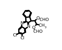 CC(OC=O)C(OC=O)C1c2ccccc2-c2nc3cc(Cl)c(Cl)cc3nc21